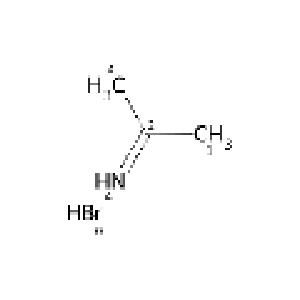 Br.CC(C)=N